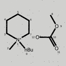 CCCC[N+]1(C)CCCCC1.COC(=O)[O-]